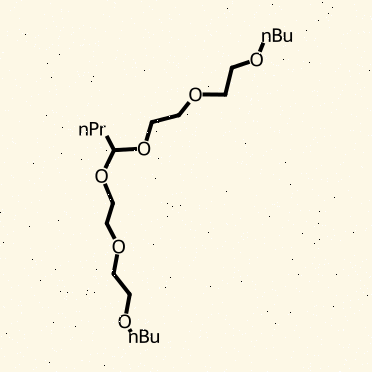 CCCCOCCOCCOC(CCC)OCCOCCOCCCC